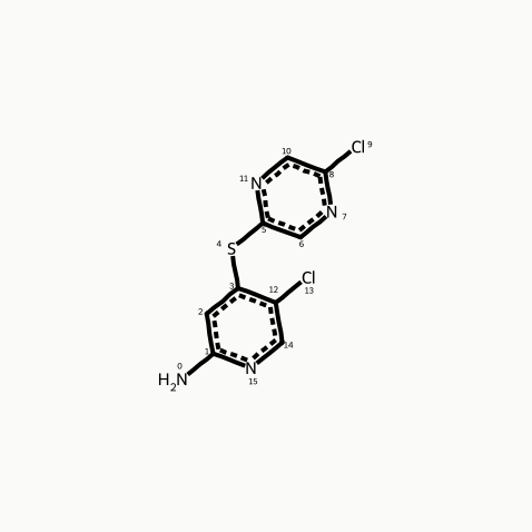 Nc1cc(Sc2cnc(Cl)cn2)c(Cl)cn1